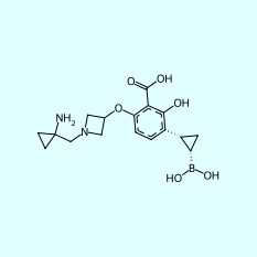 NC1(CN2CC(Oc3ccc([C@@H]4C[C@@H]4B(O)O)c(O)c3C(=O)O)C2)CC1